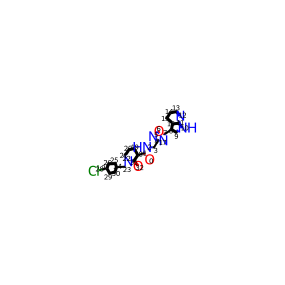 O=C(NCc1noc(-c2c[nH]c3ncccc23)n1)c1cccn(Cc2ccc(Cl)cc2)c1=O